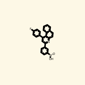 O=[N+](O)c1cccc(-c2cc(-c3ccc(F)cc3)c3c(ccc4ccccc43)n2)c1